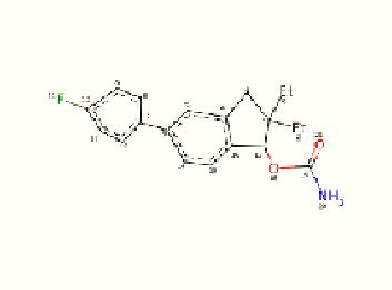 CCC1(CC)Cc2cc(-c3ccc(F)cc3)ccc2C1OC(N)=O